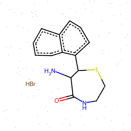 Br.NC1C(=O)NCCSC1c1cccc2ccccc12